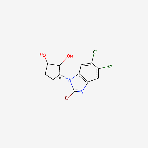 OC1CC[C@@H](n2c(Br)nc3cc(Cl)c(Cl)cc32)C1O